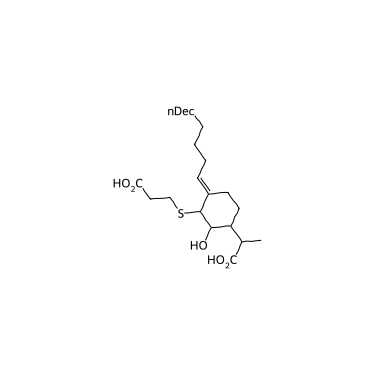 CCCCCCCCCCCCCC=C1CCC(C(C)C(=O)O)C(O)C1SCCC(=O)O